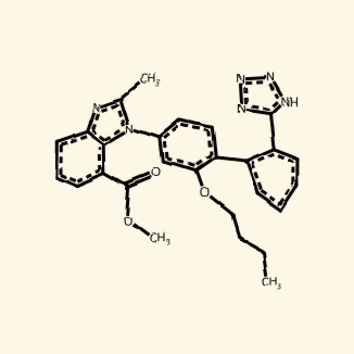 CCCCOc1cc(-n2c(C)nc3cccc(C(=O)OC)c32)ccc1-c1ccccc1-c1nnn[nH]1